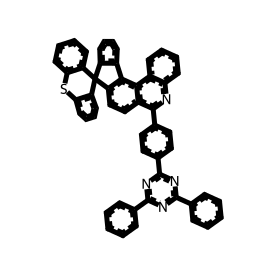 c1ccc(-c2nc(-c3ccccc3)nc(-c3ccc(-c4nc5ccccc5c5c6c(ccc45)C4(c5ccccc5Sc5ccccc54)c4ccccc4-6)cc3)n2)cc1